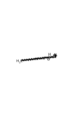 CCCCCCCCCCCC/C=C/C=C/CCCCCCCCC(=O)NCCCn1ccnc1